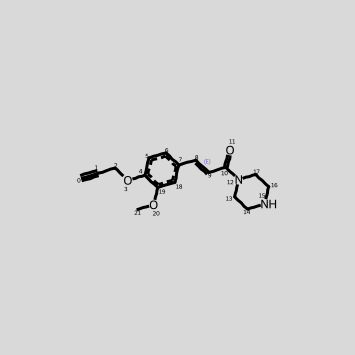 C#CCOc1ccc(/C=C/C(=O)N2CCNCC2)cc1OC